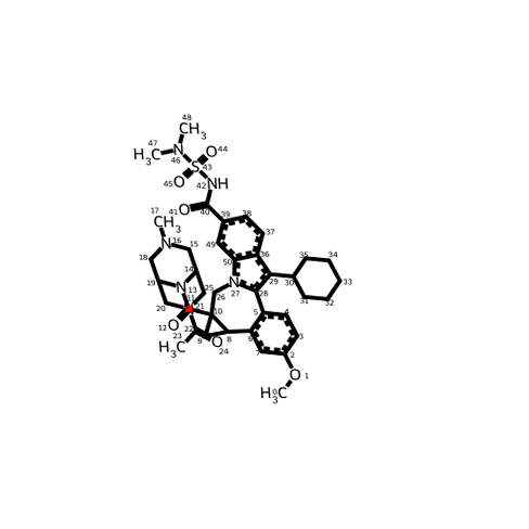 COc1ccc2c(c1)C1CC1(C(=O)N1C3CN(C)CC1CN(C(C)=O)C3)Cn1c-2c(C2CCCCC2)c2ccc(C(=O)NS(=O)(=O)N(C)C)cc21